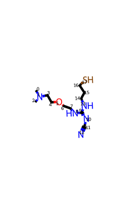 CN(C)CCOCCN/C(=N\C#N)NCCCS